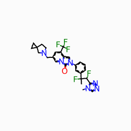 Cn1cnnc1C(F)C(C)(F)c1cccc(-n2cc3c(C(F)(F)F)cc(CN4CCC5(CC5)C4)cn3c2=O)c1